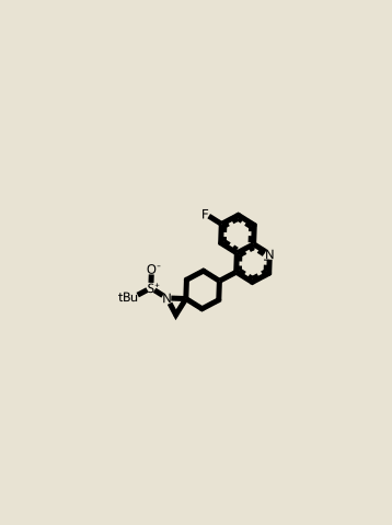 CC(C)(C)[S+]([O-])N1CC12CCC(c1ccnc3ccc(F)cc13)CC2